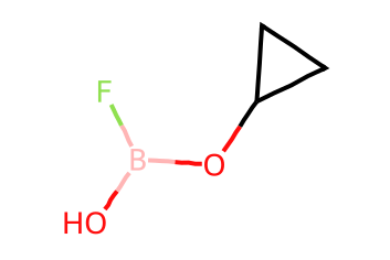 OB(F)OC1CC1